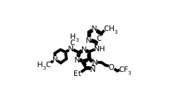 CCc1nn(CCOCC(F)(F)F)c2c(Nc3cc(C)ncn3)nc(N(C)C3CCN(C)CC3)nc12